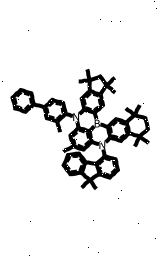 Cc1cc2c3c(c1)N(c1cccc4c1-c1ccccc1C4(C)C)c1cc4c(cc1B3c1cc3c(cc1N2c1ccc(-c2ccccc2)cc1C)C(C)(C)CC3(C)C)C(C)(C)CCC4(C)C